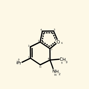 CC(C)C1=Cc2ccoc2C(C)(N)C1